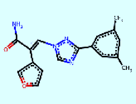 Cc1cc(-c2ncn(/C=C(/C(N)=O)c3ccoc3)n2)cc(C(F)(F)F)c1